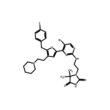 CC1(C)C(=O)NC(=O)N1CCNc1ncc(Br)c(-c2cc(CCN3CCCCC3)c(Cc3ccc(F)cc3)s2)n1